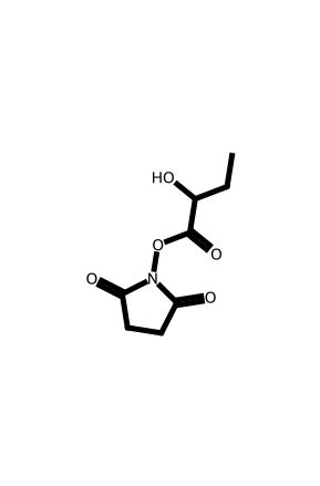 CCC(O)C(=O)ON1C(=O)CCC1=O